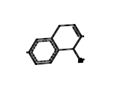 BrC1[C]=CCc2c[c]ccc21